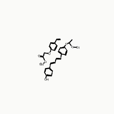 C=Cc1ccc(OCC(=O)OC(C)(C)C)cc1.CCOC(C)Oc1ccc(C=CC=Cc2ccc(O)cc2)cc1